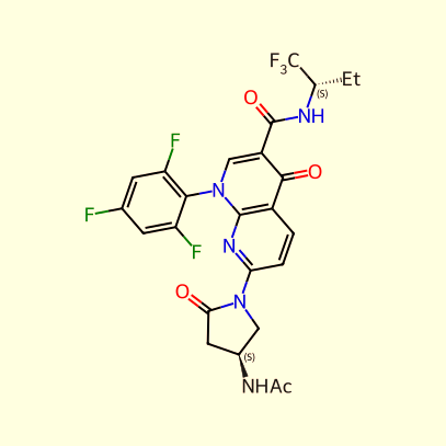 CC[C@H](NC(=O)c1cn(-c2c(F)cc(F)cc2F)c2nc(N3C[C@@H](NC(C)=O)CC3=O)ccc2c1=O)C(F)(F)F